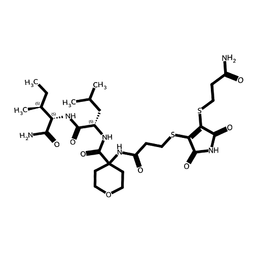 CC[C@H](C)[C@H](NC(=O)[C@H](CC(C)C)NC(=O)C1(NC(=O)CCSC2=C(SCCC(N)=O)C(=O)NC2=O)CCOCC1)C(N)=O